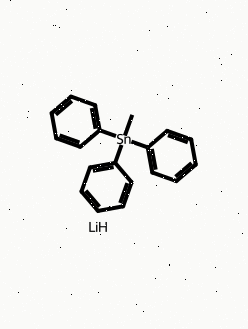 [CH3][Sn]([c]1ccccc1)([c]1ccccc1)[c]1ccccc1.[LiH]